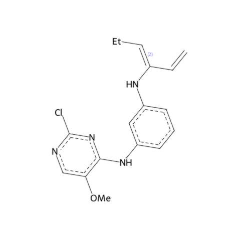 C=C/C(=C/CC)Nc1cccc(Nc2nc(Cl)ncc2OC)c1